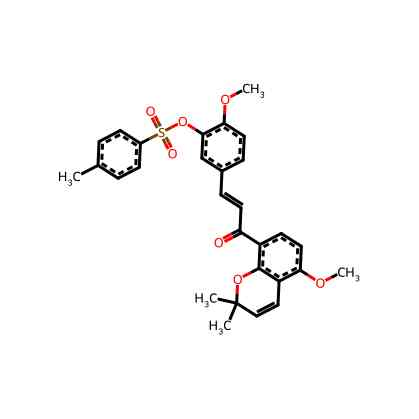 COc1ccc(C=CC(=O)c2ccc(OC)c3c2OC(C)(C)C=C3)cc1OS(=O)(=O)c1ccc(C)cc1